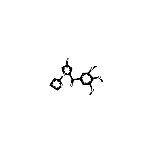 COc1cc(C(=O)c2cc(Br)cn2-c2cccs2)cc(OC)c1OC